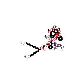 CCCCCCCCCCC(CCCCCCCC)COC(=O)CSCC(=O)O[C@H](C(=O)O[C@@H]1C[C@]2(O)[C@H](OC(=O)c3ccccc3)[C@H]3[C@@]4(OC(C)=O)CO[C@H]4C[C@@H](OC)[C@]3(C)C(=O)[C@@H](OC)C(=C1C)C2(C)C)[C@H](NC(=O)OC(C)(C)C)c1ccccc1